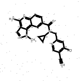 C#Cc1cnc(CN(C(=O)c2ccc3nc(N)c4cnn(C)c4c3c2)C2CC2)cc1Cl